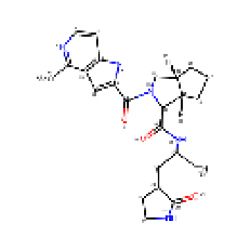 COc1nccc2[nH]c(C(=O)N3C[C@@H]4CCC[C@@H]4[C@H]3C(=O)NC(C#N)C[C@@H]3CCNC3=O)cc12